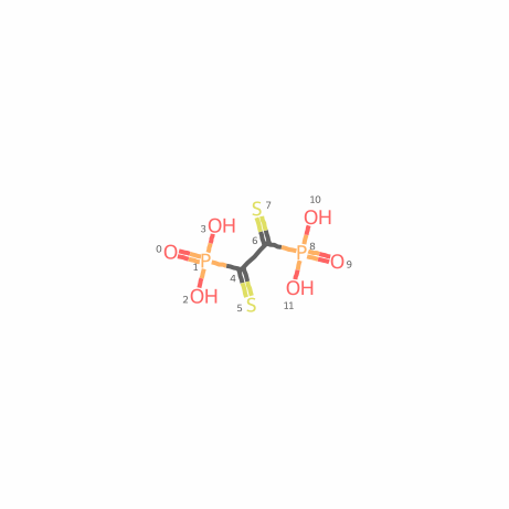 O=P(O)(O)C(=S)C(=S)P(=O)(O)O